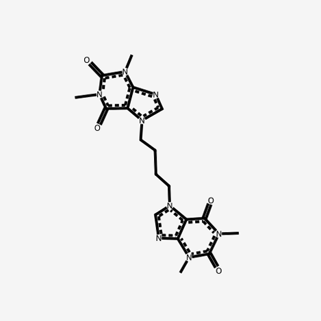 Cn1c(=O)c2c(ncn2CCCCn2cnc3c2c(=O)n(C)c(=O)n3C)n(C)c1=O